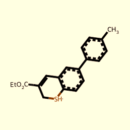 CCOC(=O)C1=Cc2cc(-c3ccc(C)cc3)ccc2[SH]C1